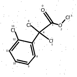 O=C(OCl)C(Cl)(Cl)c1ccccc1Cl